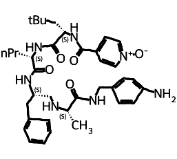 CCC[C@H](NC(=O)[C@H](CC(C)(C)C)NC(=O)c1cc[n+]([O-])cc1)C(=O)N[C@H](CN[C@@H](C)C(=O)NCc1ccc(N)cc1)Cc1ccccc1